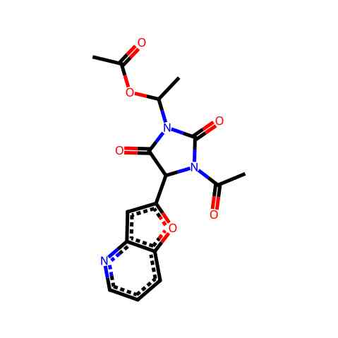 CC(=O)OC(C)N1C(=O)C(c2cc3ncccc3o2)N(C(C)=O)C1=O